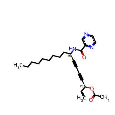 C=C[C@@H](C#CC#C[C@@H](CCCCCCCCC)NC(=O)c1cnccn1)OC(C)=O